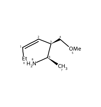 CC/C=C\[C@@H](COC)[C@@H](C)N